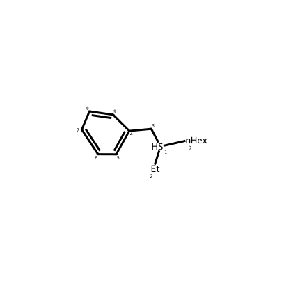 CCCCCC[SH](CC)Cc1ccccc1